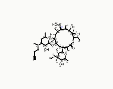 C#CCCN(C)C1CC(C)OC(O[C@@H]2[C@@H](C)[C@H](C3C[C@@](C)(OC)[C@@H](O)C(C)O3)C(C)C(=O)OC(CC)[C@@](C)(O)C(O)C(C)/C(=N/O)[C@H](C)C[C@@]2(C)O)[C@@H]1O